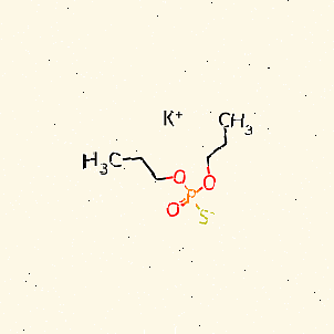 CCCOP(=O)([S-])OCCC.[K+]